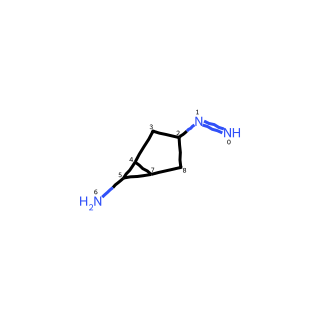 N=NC1CC2C(N)C2C1